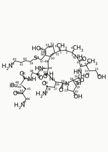 C=C1C[C@@H](C)NC(=O)[C@H]([C@@H](C)[C@@H](O)CO)NC(=O)[C@@H]2C[C@@H](O)CN2C(=O)C(CC(N)=O)NC(=O)[C@@H](NC(=O)CNC(=O)[C@@H](CC(=O)CN)[C@@H](C)CC)Cc2c1ccc(O)c2CSCCCCN